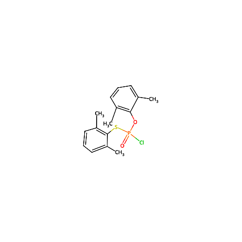 Cc1cccc(C)c1OP(=O)(Cl)Sc1c(C)cccc1C